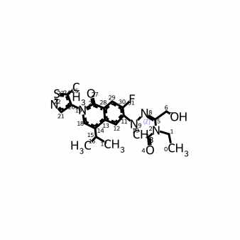 CCN(C=O)/C(CO)=N\N(C)c1cc2c(C(C)C)cn(-c3cnsc3C)c(=O)c2cc1F